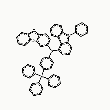 c1ccc(-n2c3ccccc3c3c(N(c4ccc([Si](c5ccccc5)(c5ccccc5)c5ccccc5)cc4)c4ccc5oc6ccccc6c5c4)cccc32)cc1